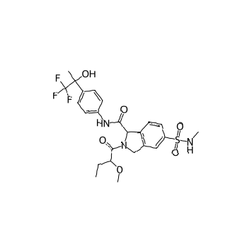 CCC(OC)C(=O)N1Cc2cc(S(=O)(=O)NC)ccc2C1C(=O)Nc1ccc(C(C)(O)C(F)(F)F)cc1